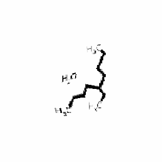 CCCCC(CC)CCCC.O